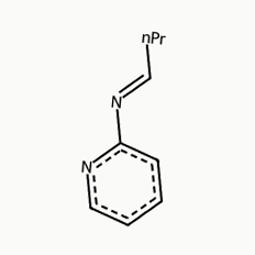 CCCC=Nc1ccccn1